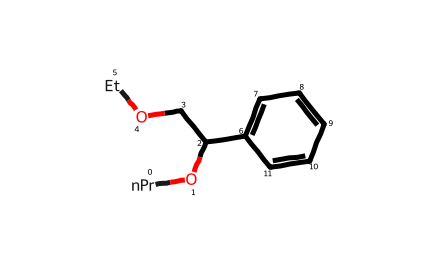 CCCO[C](COCC)c1ccccc1